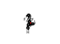 O=S(=O)(c1ccc(F)cc1)C1(c2ccc(C(OCc3c(F)cccc3F)(C(F)(F)F)C(F)(F)F)cc2)CCC(N2CCNCC2)C1